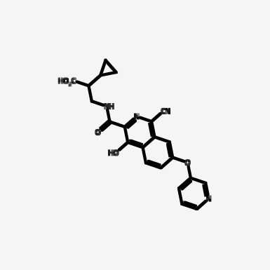 N#Cc1nc(C(=O)NCC(C(=O)O)C2CC2)c(O)c2ccc(Oc3cccnc3)cc12